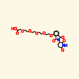 O=C(O)COCCOCCOCCOCCOc1cccc2c1C(=O)N(C1CCC(=O)NC1=O)C2=O